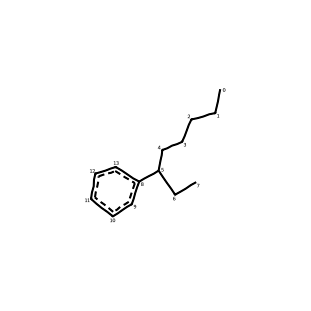 CCCCCC(CC)c1ccccc1